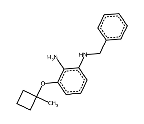 CC1(Oc2cccc(NCc3ccccc3)c2N)CCC1